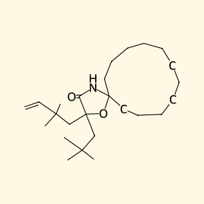 C=CC(C)(C)CC1(CC(C)(C)C)OC2(CCCCCCCCCCC2)NC1=O